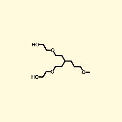 COCCCC(CCOCCO)CCOCCO